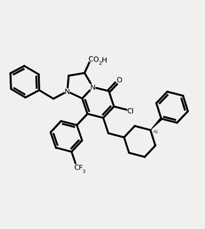 O=C(O)C1CN(Cc2ccccc2)c2c(-c3cccc(C(F)(F)F)c3)c(CC3CCC[C@H](c4ccccc4)C3)c(Cl)c(=O)n21